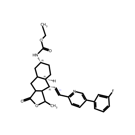 CCOC(=O)N[C@@H]1CC[C@@H]2C(CC3C(=O)OC(C)C3[C@H]2/C=C/c2ccc(-c3cccc(F)c3)cn2)C1